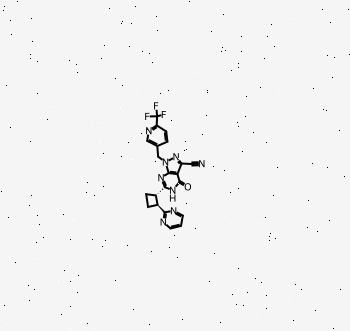 N#Cc1nn(Cc2ccc(C(F)(F)F)nc2)c2nc([C@H]3CC[C@@H]3c3ncccn3)[nH]c(=O)c12